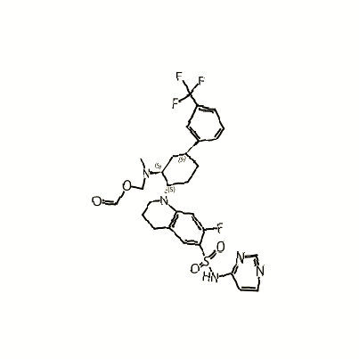 CN(COC=O)[C@H]1C[C@@H](c2cccc(C(F)(F)F)c2)CC[C@@H]1N1CCCc2cc(S(=O)(=O)Nc3ccncn3)c(F)cc21